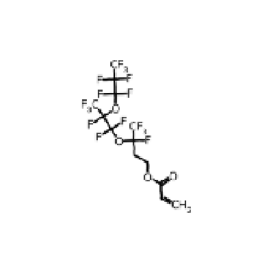 C=CC(=O)OCCC(F)(OC(F)(F)C(F)(OC(F)(F)C(F)(F)C(F)(F)F)C(F)(F)F)C(F)(F)F